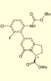 COC(=O)[C@@H]1CCc2cc(-c3c(NC(=O)OC(C)(C)C)ccc(Cl)c3F)cc(=O)n21